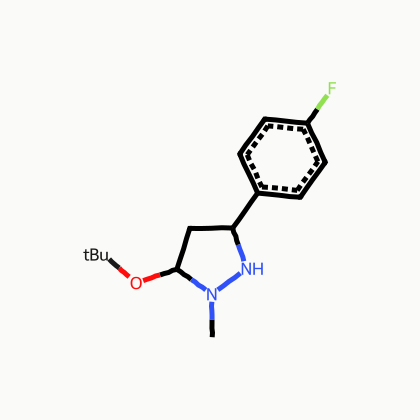 CN1NC(c2ccc(F)cc2)CC1OC(C)(C)C